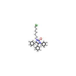 O=c1n(CCCCCCCBr)c(-c2ccccc2)c(-c2ccccc2)n1-c1ccccc1